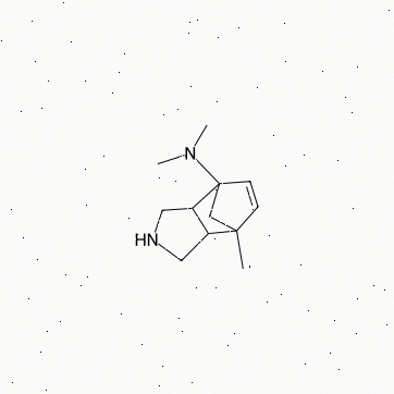 CN(C)C12C=CC(C)(C1)C1CNCC12